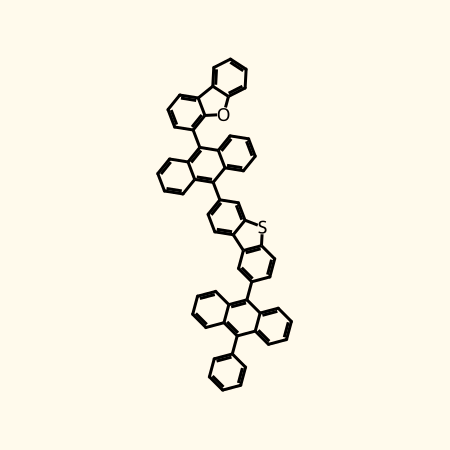 c1ccc(-c2c3ccccc3c(-c3ccc4sc5cc(-c6c7ccccc7c(-c7cccc8c7oc7ccccc78)c7ccccc67)ccc5c4c3)c3ccccc23)cc1